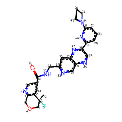 C[C@@]1(F)COCc2ncc(C(=O)NCc3cc4nc(-c5cccc(N6CCC6)n5)cnc4cn3)cc21